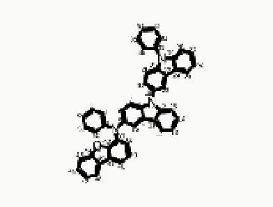 c1ccc(N(c2ccc3c(c2)c2ccccc2n3-c2ccc3c(c2)c2ccccc2n3-c2ccccc2)c2cccc3c2oc2ccccc23)cc1